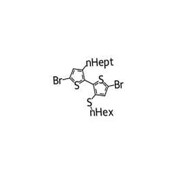 CCCCCCCc1cc(Br)sc1-c1sc(Br)cc1SCCCCCC